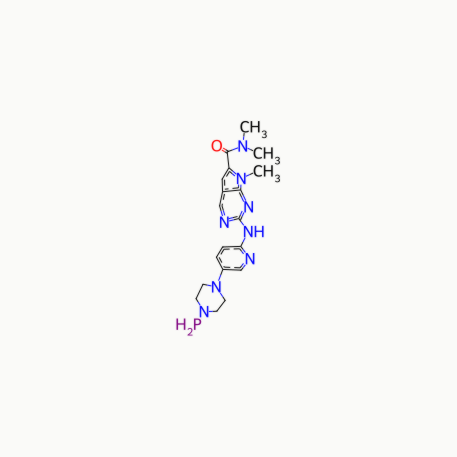 CN(C)C(=O)c1cc2cnc(Nc3ccc(N4CCN(P)CC4)cn3)nc2n1C